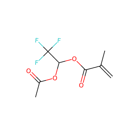 C=C(C)C(=O)OC(OC(C)=O)C(F)(F)F